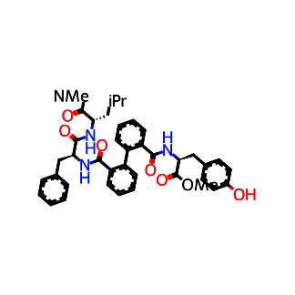 CNC(=O)[C@H](CC(C)C)NC(=O)[C@H](Cc1ccccc1)NC(=O)c1ccccc1-c1ccccc1C(=O)N[C@@H](Cc1ccc(O)cc1)C(=O)OC